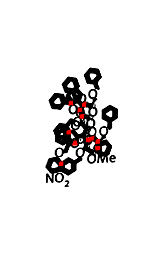 CO[C@H]1O[C@H](COCc2ccccc2)[C@@H](O[C@]2(O[C@@H]3O[C@H](COCc4ccccc4)[C@H](OCc4ccccc4)[C@H](OCc4ccccc4)[C@H]3OCc3ccccc3)[C@H](OCc3ccccc3)[C@@H](OCCOc3ccc([N+](=O)[O-])cc3)CO[C@@H]2COCc2ccccc2)[C@H](OCc2ccccc2)[C@H]1OCc1ccccc1